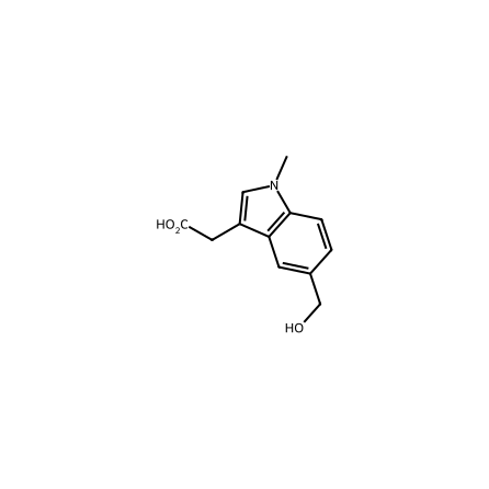 Cn1cc(CC(=O)O)c2cc(CO)ccc21